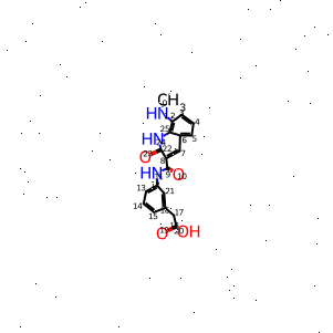 CNc1cccc2cc(C(=O)Nc3cccc(CC(=O)O)c3)c(=O)[nH]c12